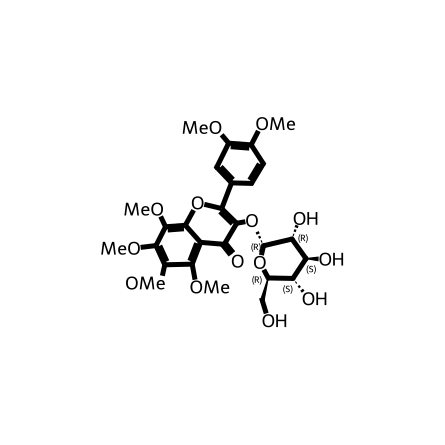 COc1ccc(-c2oc3c(OC)c(OC)c(OC)c(OC)c3c(=O)c2O[C@H]2O[C@H](CO)[C@@H](O)[C@H](O)[C@H]2O)cc1OC